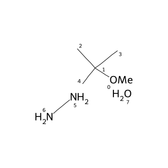 COC(C)(C)C.NN.O